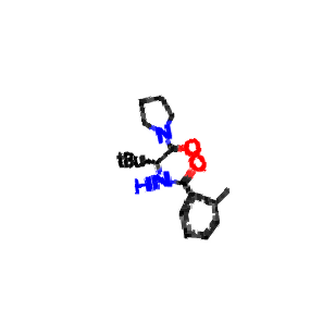 Cc1ccccc1C(=O)N[C@H](C(=O)N1CCCC1)C(C)(C)C